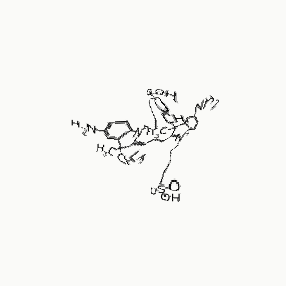 CC1(C)C(=CC=CC2=[N+](CCCCS(=O)(=O)O)c3ccc(N)cc3C2(C)C)N(CCCCS(=O)(=O)O)c2ccc(N)cc21